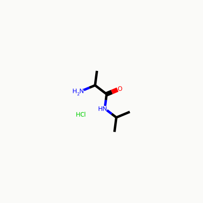 CC(C)NC(=O)C(C)N.Cl